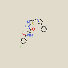 CC(C)(NC(=O)c1ccc(F)cc1)C(=O)Nc1ncc(CN2CCC(c3ccccc3)C2)s1